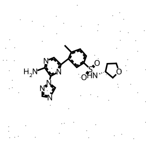 Cc1ccc(S(=O)(=O)N[C@@H]2CCOC2)cc1-c1cnc(N)c(-n2cncn2)n1